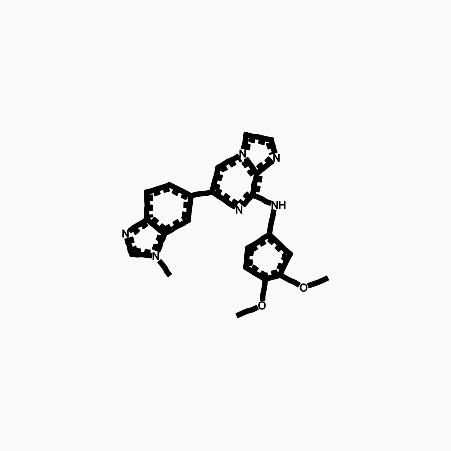 COc1ccc(Nc2nc(-c3ccc4ncn(C)c4c3)cn3ccnc23)cc1OC